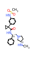 CN[C@H]1CCN(C[C@@H](NC(=O)C2(c3cccc(NS(C)(=O)=O)c3)CC2)c2ccccc2)C1